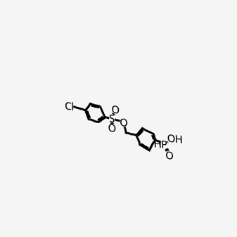 O=[PH](O)c1ccc(COS(=O)(=O)c2ccc(Cl)cc2)cc1